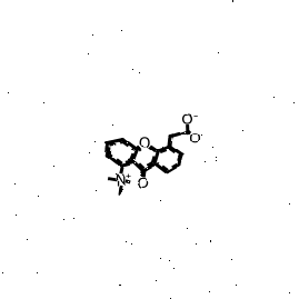 C[N+](C)(C)c1cccc2oc3c(CC(=O)[O-])cccc3c(=O)c12